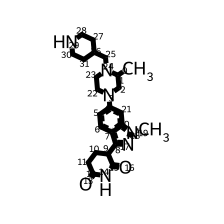 CC1CN(c2ccc3c(C4CCC(=O)NC4=O)nn(C)c3c2)CCN1CC1CCNCC1